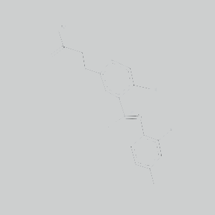 C=C(CCc1ccc(O)c(/C(C)=N/c2ccc(Cl)cc2C(C)=O)c1)OC